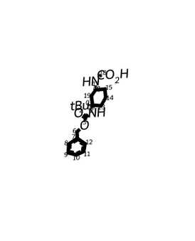 CC(C)(C)[C@@]1(NC(=O)OCc2ccccc2)CCC[C@H](NC(=O)O)C1